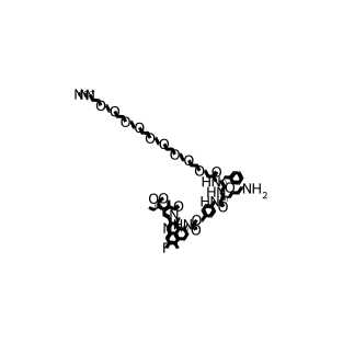 CC[C@H]1C(=O)OCc2c1cc1n(c2=O)Cc2c-1nc1cc(F)c(C)c3c1c2[C@@H](NC(=O)OCc1ccc(NC(=O)[C@H](CCCCN)NC(=O)[C@H](Cc2ccccc2)NC(=O)CCOCCOCCOCCOCCOCCOCCOCCOCCOCCN=[N+]=[N-])cc1)CC3